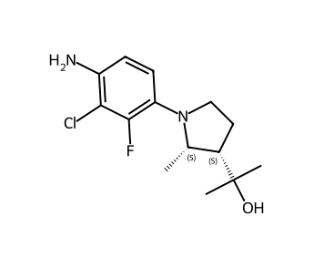 C[C@H]1[C@@H](C(C)(C)O)CCN1c1ccc(N)c(Cl)c1F